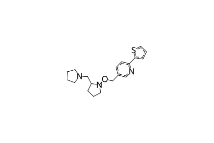 c1csc(-c2ccc(CON3CCCC3CN3CCCC3)cn2)c1